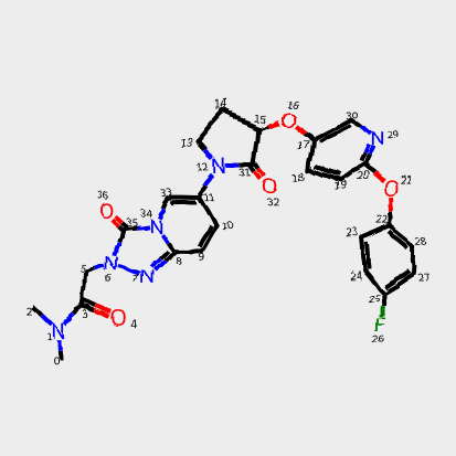 CN(C)C(=O)Cn1nc2ccc(N3CC[C@@H](Oc4ccc(Oc5ccc(F)cc5)nc4)C3=O)cn2c1=O